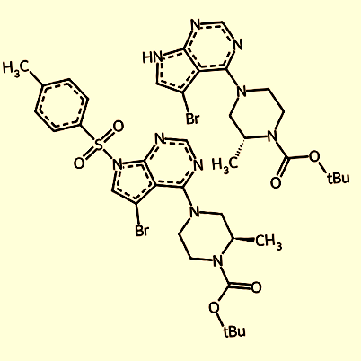 C[C@@H]1CN(c2ncnc3[nH]cc(Br)c23)CCN1C(=O)OC(C)(C)C.Cc1ccc(S(=O)(=O)n2cc(Br)c3c(N4CCN(C(=O)OC(C)(C)C)[C@H](C)C4)ncnc32)cc1